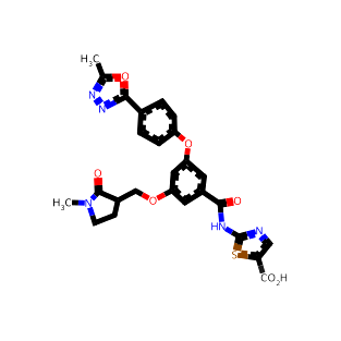 Cc1nnc(-c2ccc(Oc3cc(OCC4CCN(C)C4=O)cc(C(=O)Nc4ncc(C(=O)O)s4)c3)cc2)o1